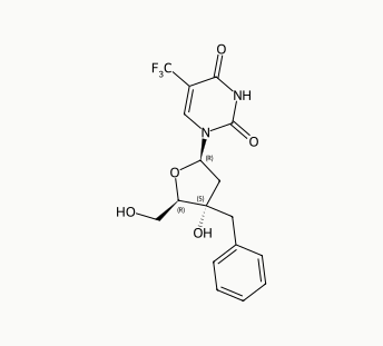 O=c1[nH]c(=O)n([C@H]2C[C@@](O)(Cc3ccccc3)[C@@H](CO)O2)cc1C(F)(F)F